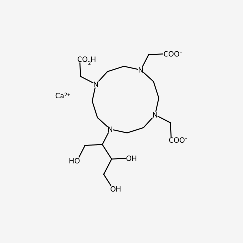 O=C([O-])CN1CCN(CC(=O)[O-])CCN(C(CO)C(O)CO)CCN(CC(=O)O)CC1.[Ca+2]